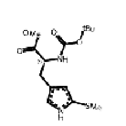 COC(=O)[C@H](Cc1c[nH]c(SC)c1)NC(=O)OC(C)(C)C